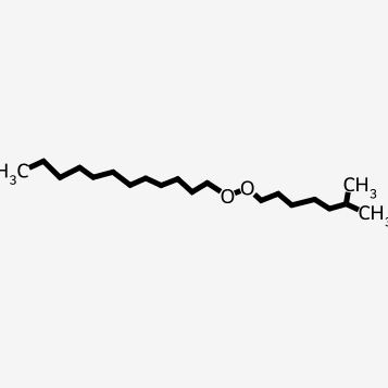 CCCCCCCCCCCCOOCCCCCC(C)C